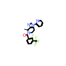 C[C@H]1c2ncn(-c3ccccn3)c2CCN1C(=O)c1cccc(C(F)(F)F)c1F